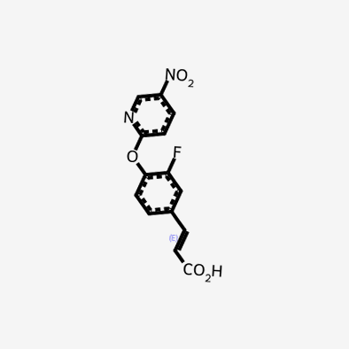 O=C(O)/C=C/c1ccc(Oc2ccc([N+](=O)[O-])cn2)c(F)c1